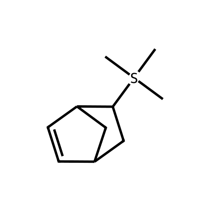 CS(C)(C)C1CC2C=CC1C2